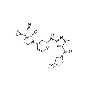 Cn1nc(Nc2cc(N3CC[C@@](C#N)(C4CC4)C3=O)ccn2)cc1C(=O)N1CC[C@@H](F)C1